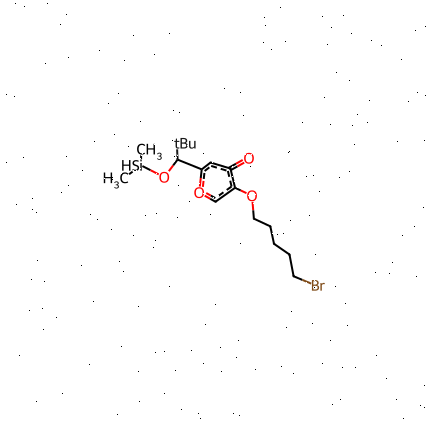 C[SiH](C)OC(c1cc(=O)c(OCCCCCBr)co1)C(C)(C)C